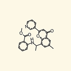 COC(=O)c1ccccc1NC(C)c1cc(C)cc2c(=O)cc(-c3cccnc3)oc12